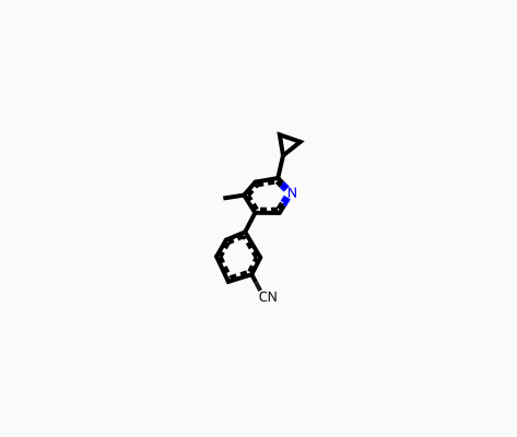 Cc1cc(C2CC2)ncc1-c1cccc(C#N)c1